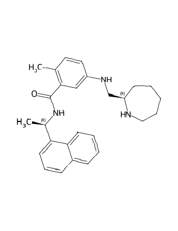 Cc1ccc(NC[C@H]2CCCCCN2)cc1C(=O)N[C@H](C)c1cccc2ccccc12